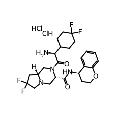 Cl.Cl.N[C@H](C(=O)N1C[C@H]2CC(F)(F)CN2C[C@H]1C(=O)N[C@@H]1CCOc2ccccc21)C1CCC(F)(F)CC1